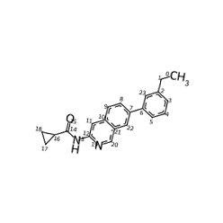 CCc1cccc(-c2ccc3cc(NC(=O)C4CC4)ncc3c2)c1